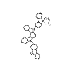 CC1(C)c2ccccc2-c2cc(-n3c4ccccc4c4c5c6ccccc6n(-c6ccc7c(c6)oc6ccccc67)c5ccc43)ccc21